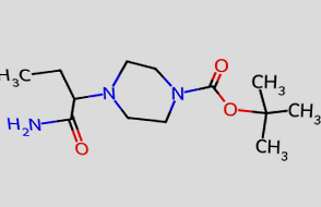 CCC(C(N)=O)N1CCN(C(=O)OC(C)(C)C)CC1